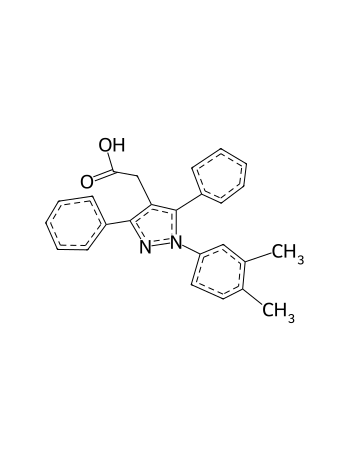 Cc1ccc(-n2nc(-c3ccccc3)c(CC(=O)O)c2-c2ccccc2)cc1C